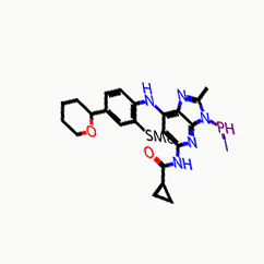 CSc1cc(C2CCCCO2)ccc1Nc1cc(NC(=O)C2CC2)nc2c1nc(C)n2PI